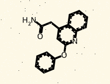 NC(=O)Cc1cc(Oc2ccccc2)nc2ccccc12